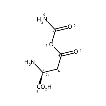 NC(=O)OC(=O)C[C@H](N)C(=O)O